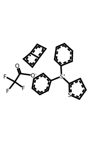 O=C([O-])C(F)(F)F.c1cc2ccc1-2.c1ccc([S+](c2ccccc2)c2cccs2)cc1